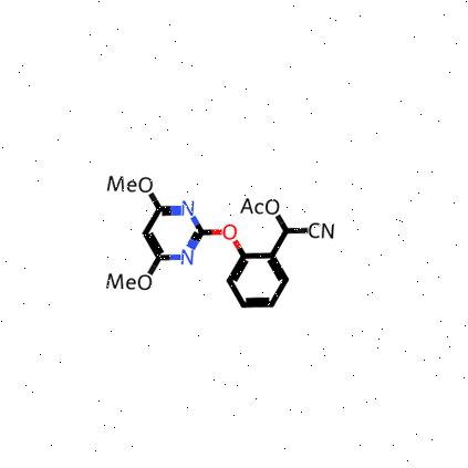 COc1cc(OC)nc(Oc2ccccc2C(C#N)OC(C)=O)n1